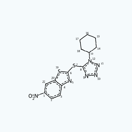 O=[N+]([O-])c1ccc2nc(Sc3nnnn3C3CCCCC3)sc2c1